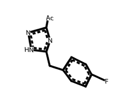 CC(=O)c1n[nH]c(Cc2ccc(F)cc2)n1